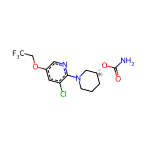 NC(=O)O[C@@H]1CCCN(c2ncc(OCC(F)(F)F)cc2Cl)C1